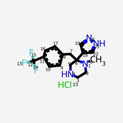 CN1CCNCC1(Cc1ccc(C(F)(F)F)cc1)c1cn[nH]c1.Cl